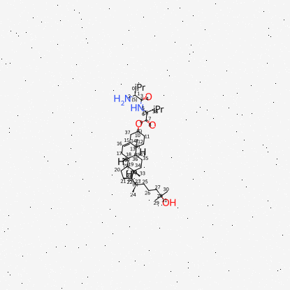 CC(C)[C@H](N)C(=O)N[C@H](C(=O)O[C@H]1CC[C@@]2(C)C(=CC[C@H]3[C@@H]4CC[C@H]([C@H](C)CCCC(C)(C)O)[C@@]4(C)CC[C@@H]32)C1)C(C)C